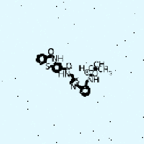 CC(C)(C)OC(=O)NCc1ccccc1-c1ncc(CNC(=O)c2ccc3c(c2)NC(=O)c2ccccc2S3)s1